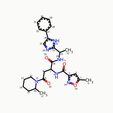 Cc1cc(C(=O)NC(CC(=O)N2CCCCC2C)C(=O)NC(C)c2ncc(-c3ccccc3)[nH]2)no1